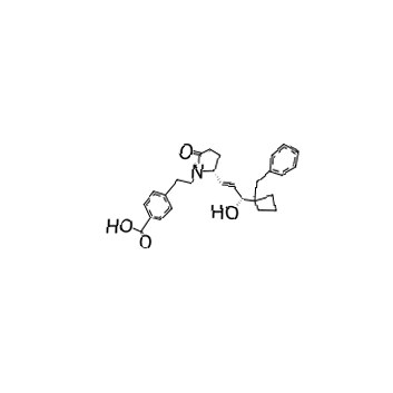 O=C(O)c1ccc(CCN2C(=O)CC[C@@H]2/C=C/[C@@H](O)C2(Cc3ccccc3)CCC2)cc1